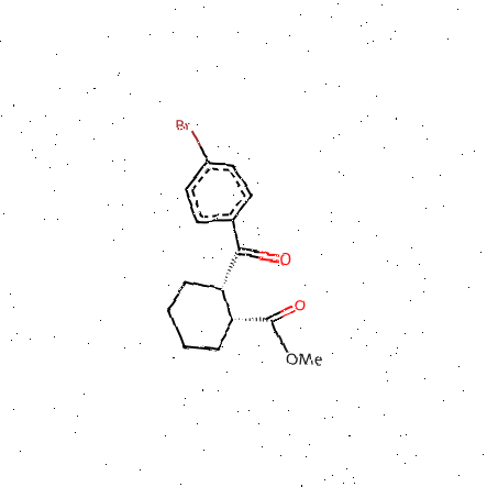 COC(=O)[C@@H]1CCCC[C@@H]1C(=O)c1ccc(Br)cc1